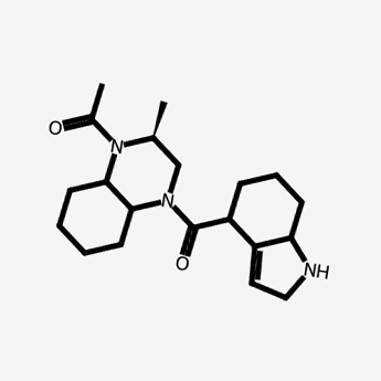 CC(=O)N1C2CCCCC2N(C(=O)C2CCCC3NCC=C32)C[C@@H]1C